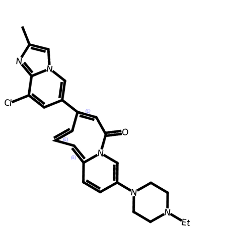 CCN1CCN(C2=CN3C(=O)\C=C(c4cc(Cl)c5nc(C)cn5c4)/C=C/C=C/3C=C2)CC1